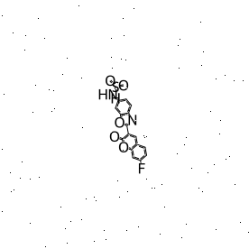 O=c1oc2cc(F)ccc2cc1-c1nc2ccc(N[SH](=O)=O)cc2o1